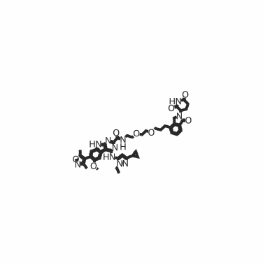 CCn1nc(C2CC2)cc1Nc1nc(C(=O)NCCOCCOCCCc2cccc3c2CN(C2CCC(=O)NC2=O)C3=O)nc2[nH]c3cc(-c4c(C)noc4C)c(OC)cc3c12